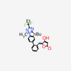 CCCCC1=NC(C(F)(F)CC)=N[N+]1(C)c1ccc(-c2ccccc2/C=C2\OC(=O)C=C2O)cc1